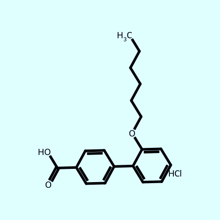 CCCCCCOc1ccccc1-c1ccc(C(=O)O)cc1.Cl